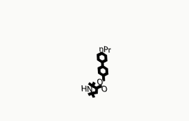 CCCC1CCC(C2CCC(COC(=O)C3CC(C)(C)NC3(C)C)CC2)CC1